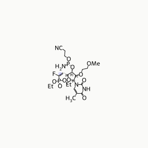 CCOP(=O)(OCC)/C(F)=C\[C@H]1O[C@@H](n2cc(C)c(=O)[nH]c2=O)[C@H](OCCOC)[C@@H]1OP(N)OCCC#N